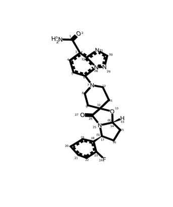 NC(=O)c1ccc(N2CCC3(CC2)O[C@@H]2CC[C@@H](c4ccccc4F)N2C3=O)n2ncnc12